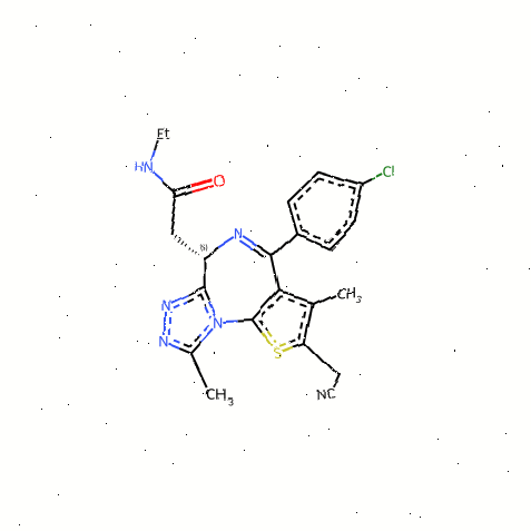 CCNC(=O)C[C@@H]1N=C(c2ccc(Cl)cc2)c2c(sc(CC#N)c2C)-n2c(C)nnc21